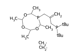 C=C(CP1[C](C)OC(C)OC(C)OC1C)CP(C(C)(C)C)C(C)(C)C.[CH2].[CH2]